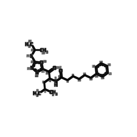 CC(C)CC(NC(=O)CCCCCc1ccccc1)C(=O)c1nnc(SC(C)C)o1